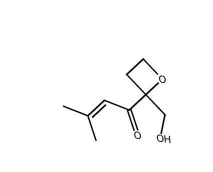 CC(C)=CC(=O)C1(CO)CCO1